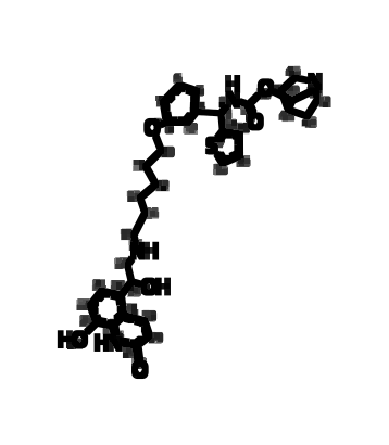 O=C(NC(c1cccc(OCCCCCCNCC(O)c2ccc(O)c3[nH]c(=O)ccc23)c1)c1cccs1)OC1CN2CCC1CC2